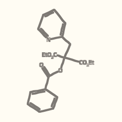 CCOC(=O)C(Cc1ccccn1)(OC(=O)c1ccccc1)C(=O)OCC